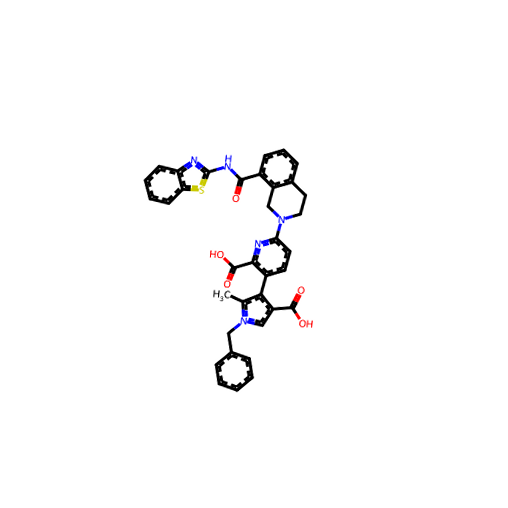 Cc1c(-c2ccc(N3CCc4cccc(C(=O)Nc5nc6ccccc6s5)c4C3)nc2C(=O)O)c(C(=O)O)cn1Cc1ccccc1